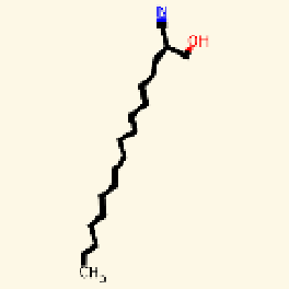 CCCCCCCCCCCCCCCCC(C#N)CO